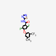 Cc1cc(Oc2cc(F)c(C(=O)Nc3ncns3)cc2F)cc(C(F)(F)F)c1